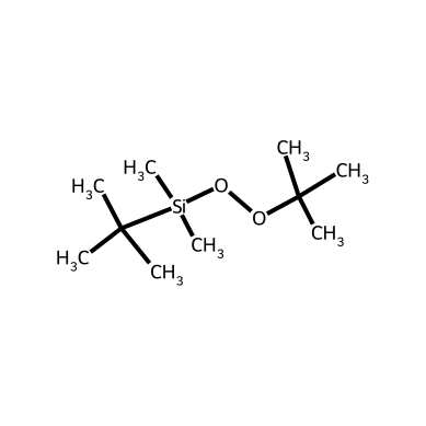 CC(C)(C)OO[Si](C)(C)C(C)(C)C